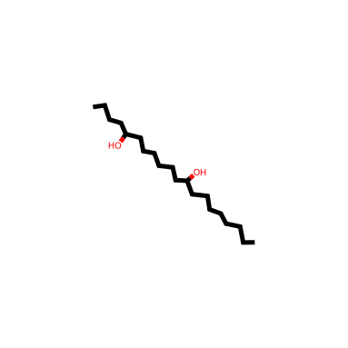 CCCCCCCCC(O)CCCCCCC(O)CCCC